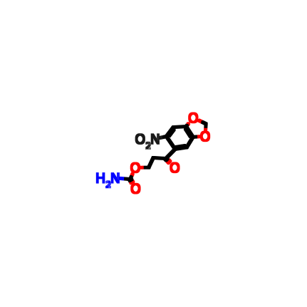 NC(=O)OCCC(=O)c1cc2c(cc1[N+](=O)[O-])OCO2